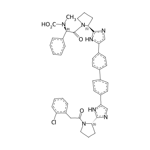 CN(C(=O)O)[C@@H](C(=O)N1CCC[C@H]1c1ncc(-c2ccc(-c3ccc(-c4cnc([C@@H]5CCCN5C(=O)Cc5ccccc5Cl)[nH]4)cc3)cc2)[nH]1)c1ccccc1